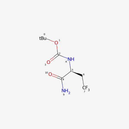 CC(C)(C)OC(=O)N[C@@H](CC(F)(F)F)C(N)=O